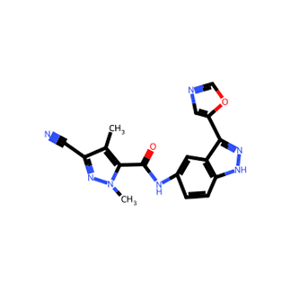 Cc1c(C#N)nn(C)c1C(=O)Nc1ccc2[nH]nc(-c3cnco3)c2c1